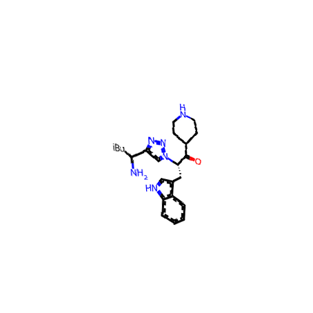 CCC(C)C(N)c1cn([C@@H](Cc2c[nH]c3ccccc23)C(=O)C2CCNCC2)nn1